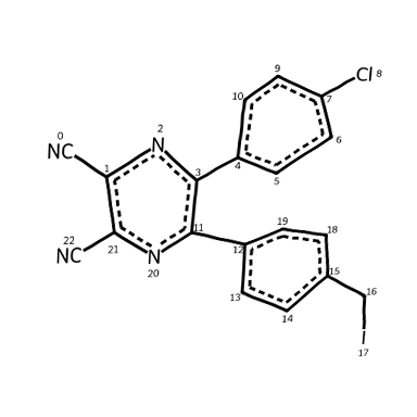 N#Cc1nc(-c2ccc(Cl)cc2)c(-c2ccc(CI)cc2)nc1C#N